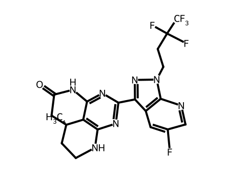 C[C@@]12CCNc3nc(-c4nn(CCC(F)(F)C(F)(F)F)c5ncc(F)cc45)nc(c31)NC(=O)C2